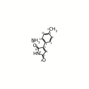 Cc1ccc(C2=CC(=O)NC2=O)cc1.N